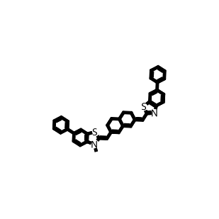 CN1/C(=C/C2=CC3=C/C(=C/c4nc5ccc(-c6ccccc6)cc5s4)CCC3CC2)Sc2cc(-c3ccccc3)ccc21